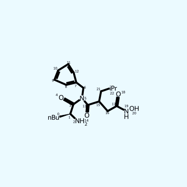 CCCC[C@H](N)C(=O)N(Cc1ccccc1)C(=O)C(CC(=O)NO)CC(C)C